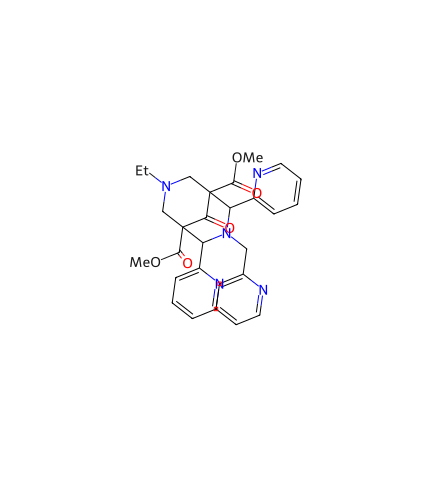 CCN1CC2(C(=O)OC)C(=O)C(C(=O)OC)(C1)C(c1ccccn1)N(Cc1ccccn1)C2c1ccccn1